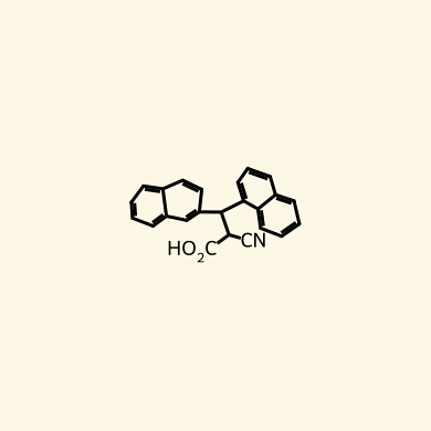 N#CC(C(=O)O)C(c1ccc2ccccc2c1)c1cccc2ccccc12